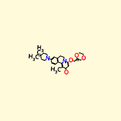 Cc1c2n(c(OC[C@@H]3COCCO3)cc1=O)CCc1cc(N3CCC(C)(C)CC3)ccc1-2